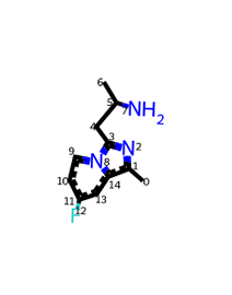 Cc1nc(CC(C)N)n2ccc(F)cc12